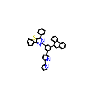 c1ccc(-c2nc(-c3cc(-c4ccc(-c5ccccn5)nc4)cc(-c4cc5ccccc5c5ccccc45)c3)nc3c2sc2ccccc23)cc1